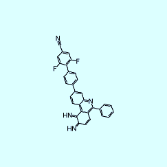 N#Cc1cc(F)c(-c2ccc(-c3ccc4c5c(c(-c6ccccc6)nc4c3)C=CC(=N)C5=N)cc2)c(F)c1